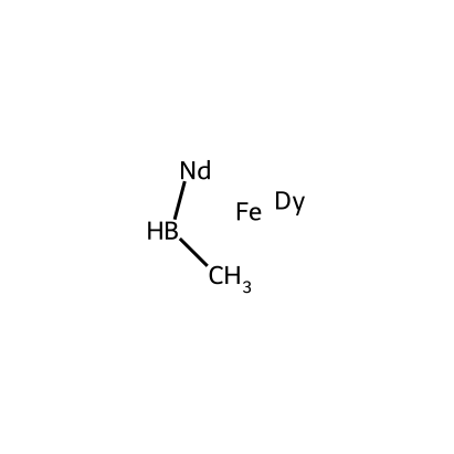 C[BH][Nd].[Dy].[Fe]